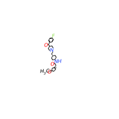 CO[C@H]1CC[C@H](CC(=O)N[C@H]2CC[C@H](CCN3CCC(C(=O)c4ccc(F)cc4)CC3)CC2)C1